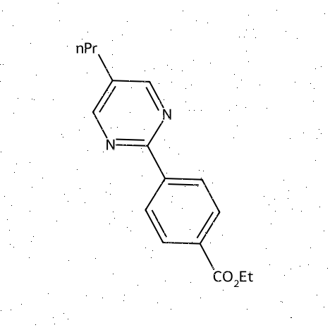 CCCc1cnc(-c2ccc(C(=O)OCC)cc2)nc1